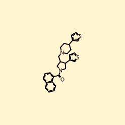 O=C(c1cccc2ccccc12)N1CC(CN2CCC(c3ccsc3)CC2)C(c2ccsc2)C1